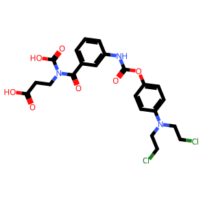 O=C(O)CCN(C(=O)O)C(=O)c1cccc(NC(=O)Oc2ccc(N(CCCl)CCCl)cc2)c1